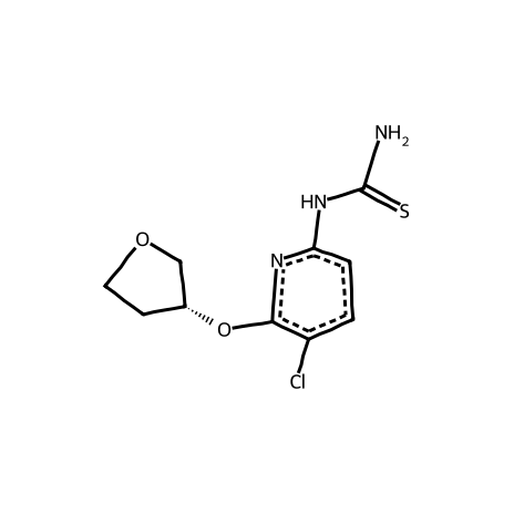 NC(=S)Nc1ccc(Cl)c(O[C@@H]2CCOC2)n1